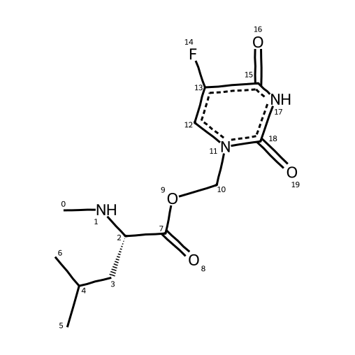 CN[C@@H](CC(C)C)C(=O)OCn1cc(F)c(=O)[nH]c1=O